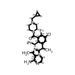 Cc1nc(C(C)c2cc(Cl)c(F)c(C(=O)N3CCN(CC4CC4)CC3)c2CC(C)C)n2ccnc(N)c12